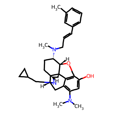 Cc1cccc(C=CCN(C)[C@H]2CC[C@H]3[C@H]4Cc5c(N(C)C)cc(O)c6c5[C@@]3(CCN4CC3CC3)[C@H]2O6)c1